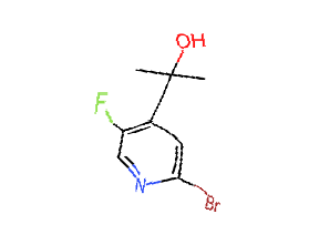 CC(C)(O)c1cc(Br)ncc1F